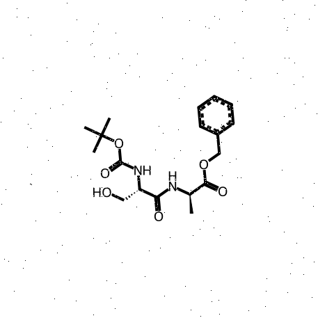 C[C@@H](NC(=O)[C@H](CO)NC(=O)OC(C)(C)C)C(=O)OCc1ccccc1